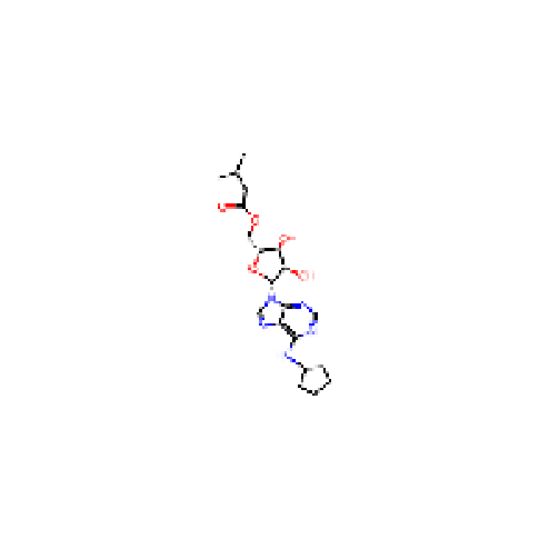 CC(C)CC(=O)OC[C@H]1O[C@@H](n2cnc3c(NC4CCCC4)ncnc32)[C@H](O)[C@@H]1O